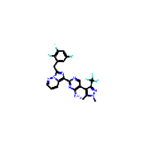 Cc1c(-c2cnc(-c3nc(Cc4cc(F)cc(F)c4F)n4ncccc34)nc2N)c(C(F)(F)F)nn1C